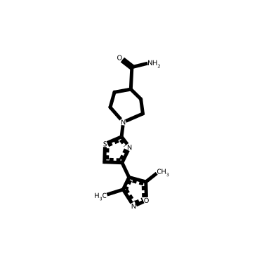 Cc1noc(C)c1-c1csc(N2CCC(C(N)=O)CC2)n1